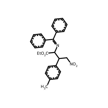 CCOC(=O)C(N=C(c1ccccc1)c1ccccc1)C(C[N+](=O)[O-])c1ccc(C)cc1